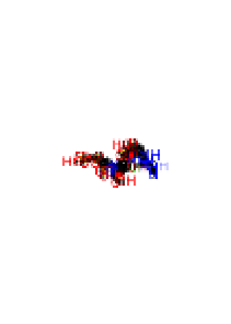 N#CNc1nc(Cl)nc(Nc2ccc(S(=O)(=O)O)c(/N=N/c3c(S(=O)(=O)O)cc4c(/N=N/c5ccc(S(=O)(=O)CCOS(=O)(=O)O)cc5S(=O)(=O)O)c(NCS(=O)(=O)O)ccc4c3O)c2)n1